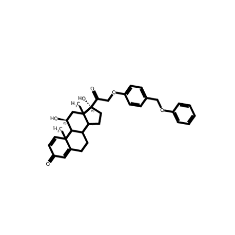 CC12C=CC(=O)C=C1CCC1C2[C@@H](O)CC2(C)C1CC[C@]2(O)C(=O)COc1ccc(COc2ccccc2)cc1